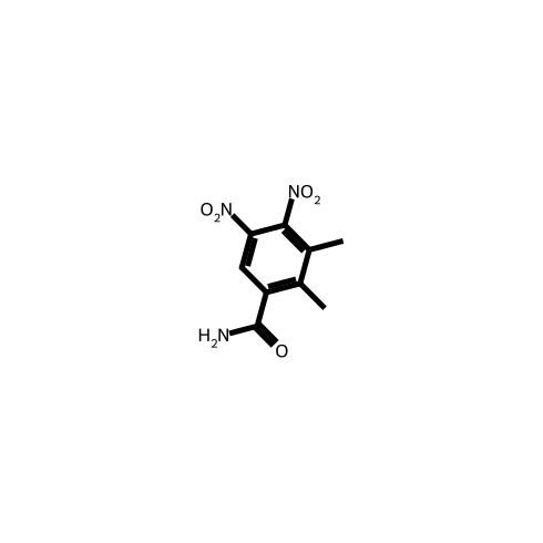 Cc1c(C(N)=O)cc([N+](=O)[O-])c([N+](=O)[O-])c1C